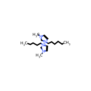 CCCCCC[N+]1([N+]2(CCCCC)C=CN(C)C2)C=CN(C)C1